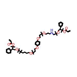 C=CC(=O)OC(C)(C)C(COC(C)(C)CNCCCOC(C)(C)CCOc1ccc(OCCC(C)(C)OCCCCC(C)(C)C(C)(C)OCC(c2ccccc2)C(C)(C)OC(=O)C=C)cc1)c1ccccc1